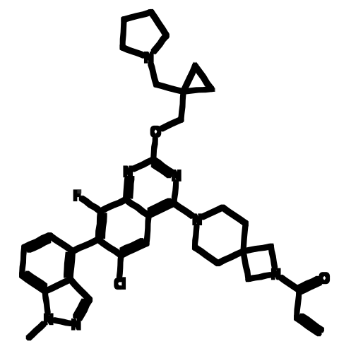 C=CC(=O)N1CC2(CCN(c3nc(OCC4(CN5CCCC5)CC4)nc4c(F)c(-c5cccc6c5cnn6C)c(Cl)cc34)CC2)C1